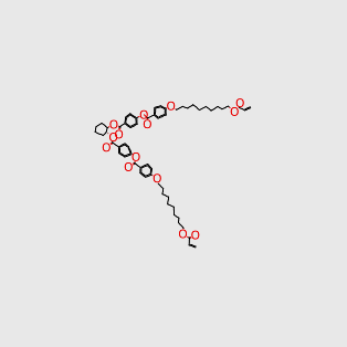 C=CC(=O)OCCCCCCCCCCOc1ccc(C(=O)Oc2ccc(C(=O)O[C@@H]3CCCC[C@H]3OC(=O)c3ccc(OC(=O)c4ccc(OCCCCCCCCCCOC(=O)C=C)cc4)cc3)cc2)cc1